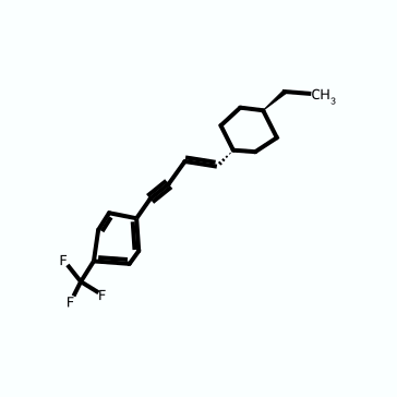 CC[C@H]1CC[C@H](C=CC#Cc2ccc(C(F)(F)F)cc2)CC1